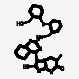 Cc1cn2c(nc(S)n2-c2nc(NCc3ccccc3Sc3ccccc3CO)nc3ccccc23)nc1=O